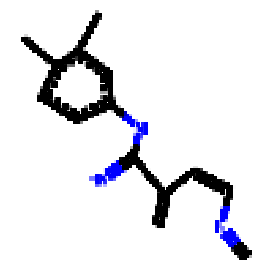 C=N/C=C\C(=C)C(=N)Nc1ccc(C)c(C)c1